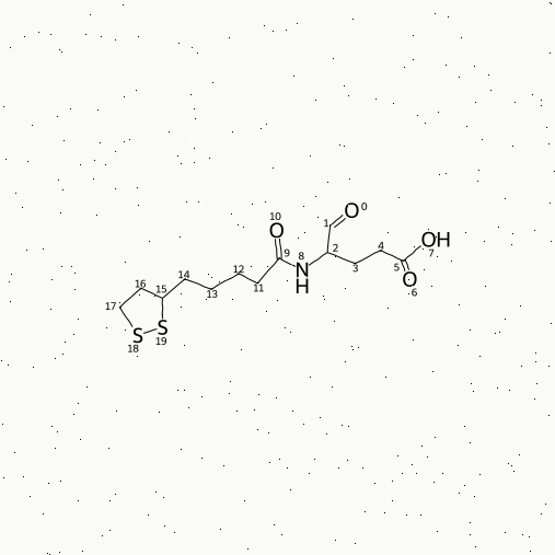 O=CC(CCC(=O)O)NC(=O)CCCCC1CCSS1